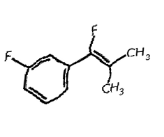 CC(C)=C(F)c1cccc(F)c1